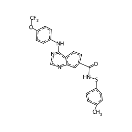 Cc1ccc(SNC(=O)c2ccc3c(Nc4ccc(OC(F)(F)F)cc4)ncnc3c2)cc1